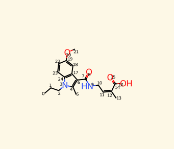 CCCn1c(C)c(C(=O)NCC=C(C)C(=O)O)c2cc(OC)ccc21